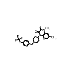 Cc1cnc2c(c1)n(C)c(=O)c(=O)n2C1CCN(Cc2ccc(OC(F)(F)F)cc2)CC1